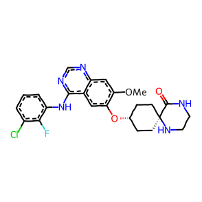 COc1cc2ncnc(Nc3cccc(Cl)c3F)c2cc1O[C@H]1CC[C@@]2(CC1)NCCNC2=O